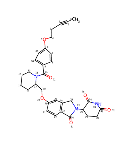 CC#CCCOc1ccc(C(=O)N2CCCCC2COc2ccc3c(c2)CN(C2CCC(=O)NC2=O)C3=O)cc1